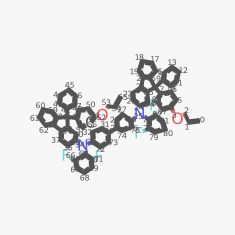 C=CCOc1ccc(C2(c3ccccc3)c3ccccc3-c3ccc(N(c4ccc(-c5ccc(N(c6ccc7c(c6)C(c6ccccc6)(c6ccc(OCC=C)cc6)c6ccccc6-7)c6c(F)cccc6F)cc5)cc4)c4c(F)cccc4F)cc32)cc1